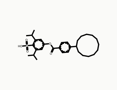 CC(C)c1cc(OC(=O)c2ccc(C3CCCCCCCCCCC3)cc2)cc(C(C)C)c1S(=O)(=O)O